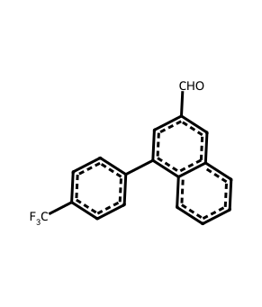 O=Cc1cc(-c2ccc(C(F)(F)F)cc2)c2ccccc2c1